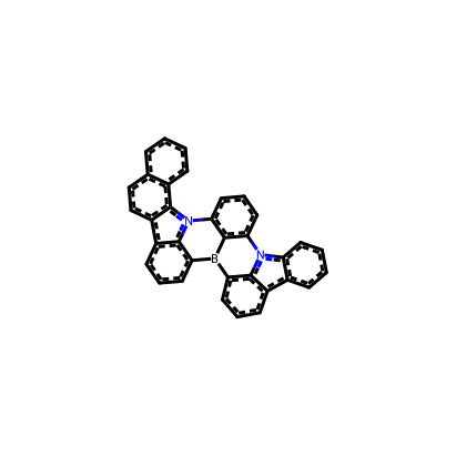 c1cc2c3c(c1)-n1c4c(cccc4c4ccc5ccccc5c41)B3c1cccc3c4ccccc4n-2c13